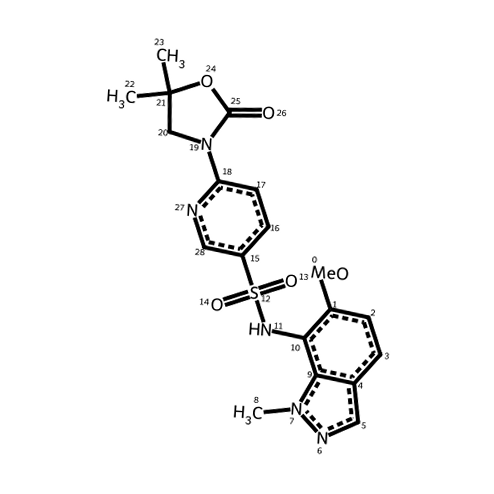 COc1ccc2cnn(C)c2c1NS(=O)(=O)c1ccc(N2CC(C)(C)OC2=O)nc1